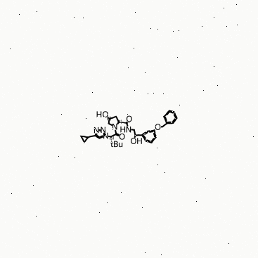 CC(C)(C)[C@@H](C(=O)N1C[C@H](O)C[C@H]1C(=O)NCC(O)c1cccc(OCc2ccccc2)c1)n1cc(C2CC2)nn1